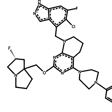 C=CC(=O)N1CCN(c2nc(OCC34CCCN3C[C@H](F)C4)nc3c2CCCN3Cc2c(Cl)c(F)cc3[nH]ncc23)CC1